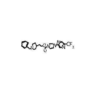 O=C(OCCC1CCN(Cc2ccccc2)CC1)N1CCN(c2cnc(C(F)(F)F)cn2)CC1